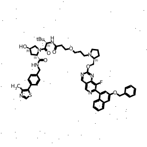 Cc1ncsc1-c1ccc(CNC(=O)[C@@H]2C[C@@H](O)CN2C(=O)[C@@H](NC(=O)CCOCCCN2CCC[C@H]2COc2ncc3cnc(-c4cc(OCc5ccccc5)cc5ccccc45)c(F)c3n2)C(C)(C)C)cc1